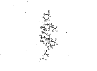 CC(C)CC(=O)OC[C@H]1O[C@@](C#N)(c2ccc3c(NC(=O)[C@H](Cc4ccc(F)cc4)NC(=O)OC(C)(C)C)ncnn23)[C@@H]2OC(C)(C)O[C@@H]21